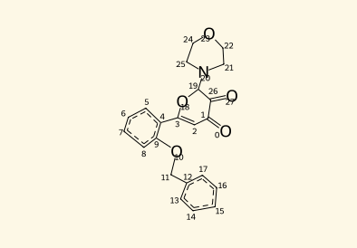 O=C1C=C(c2ccccc2OCc2ccccc2)OC(N2CCOCC2)C1=O